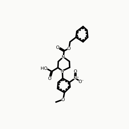 COc1ccc(N2CCN(C(=O)OCc3ccccc3)CC2C(=O)O)c([N+](=O)[O-])c1